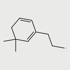 [CH2]CCC1=CC(C)(C)CC=C1